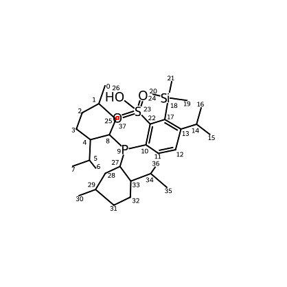 CC1CCC(C(C)C)C(P(c2ccc(C(C)C)c([Si](C)(C)C)c2S(=O)(=O)O)C2CC(C)CCC2C(C)C)C1